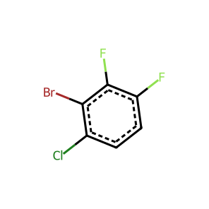 Fc1ccc(Cl)c(Br)c1F